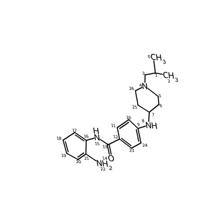 CC(C)CN1CCC(Nc2ccc(C(=O)Nc3ccccc3N)cc2)CC1